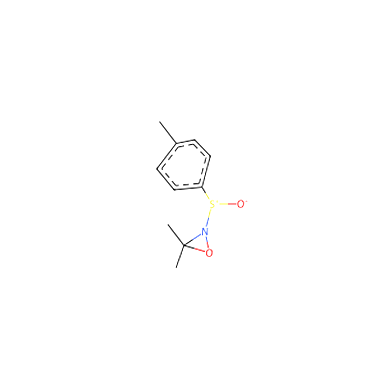 Cc1ccc([S+]([O-])N2OC2(C)C)cc1